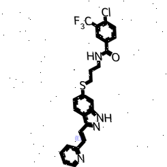 O=C(NCCCSc1ccc2c(/C=C/c3ccccn3)n[nH]c2c1)c1ccc(Cl)c(C(F)(F)F)c1